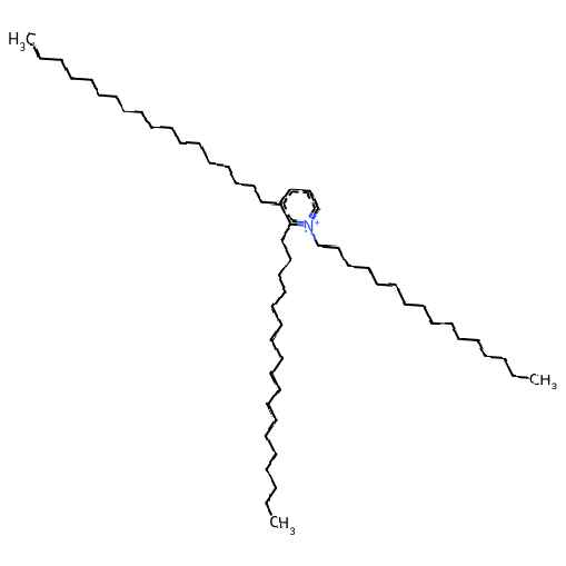 CCCCCCCCCCCCCCCCCCc1ccc[n+](CCCCCCCCCCCCCCCC)c1CCCCCCCCCCCCCCCCCC